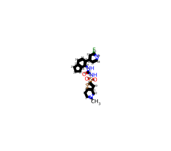 CN1CCc2sc(S(=O)(=O)NC(=O)Nc3c(-c4ccnc(F)c4)ccc4c3CCC4)cc2C1